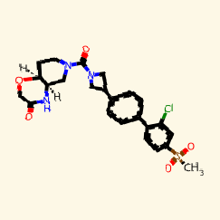 CS(=O)(=O)c1ccc(-c2ccc(C3CN(C(=O)N4CC[C@@H]5OCC(=O)N[C@@H]5C4)C3)cc2)c(Cl)c1